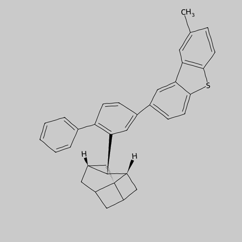 Cc1ccc2sc3ccc(-c4ccc(-c5ccccc5)c([C@H]5[C@@H]6CC7CC8C[C@@H]5[C@]78C6)c4)cc3c2c1